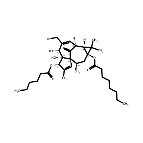 CCCCCCCC(=O)O[C@@]12C[C@@H](C)[C@]34C=C(C)[C@H](OC(=O)CCCCC)[C@@]3(O)[C@H](O)C(CO)=C[C@H](C4=O)[C@@H]1C2(C)C